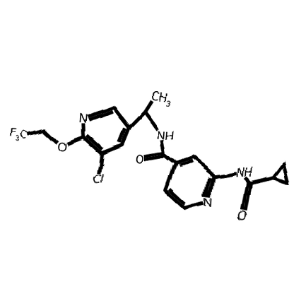 CC(NC(=O)c1ccnc(NC(=O)C2CC2)c1)c1cnc(OCC(F)(F)F)c(Cl)c1